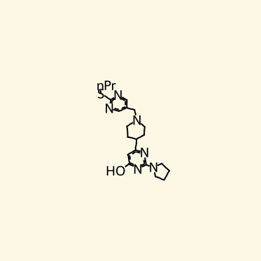 CCCSc1ncc(CN2CCC(c3cc(O)nc(N4CCCC4)n3)CC2)cn1